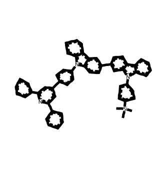 C[Si](C)(C)c1ccc(-n2c3ccccc3c3ccc(-c4ccc5c(c4)c4ccccc4n5-c4ccc(-c5cc(-c6ccccc6)nc(-c6ccccc6)c5)cc4)cc32)cc1